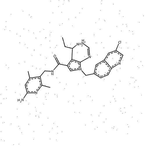 CCC(N)c1c(C(=O)NCc2c(C)cc(N)nc2C)cn(Cc2ccc3ncc(Cl)cc3c2)c1/N=C\N